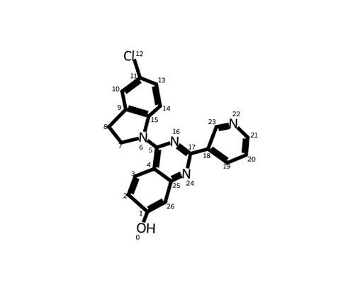 Oc1ccc2c(N3CCc4cc(Cl)ccc43)nc(-c3cccnc3)nc2c1